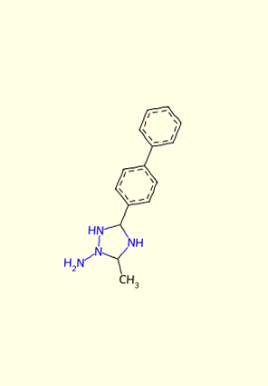 CC1NC(c2ccc(-c3ccccc3)cc2)NN1N